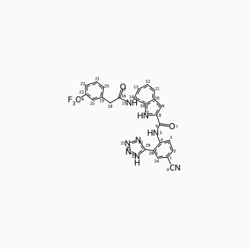 N#Cc1ccc(NC(=O)c2cc3cccc(NC(=O)Cc4cccc(C(F)(F)F)c4)c3[nH]2)c(-c2nnn[nH]2)c1